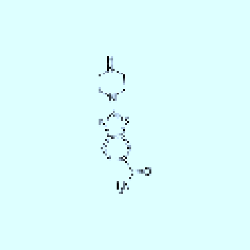 NC(=O)c1ccc2nc(N3CCNCC3)sc2c1